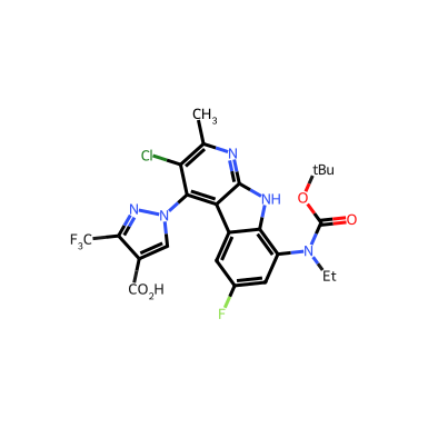 CCN(C(=O)OC(C)(C)C)c1cc(F)cc2c1[nH]c1nc(C)c(Cl)c(-n3cc(C(=O)O)c(C(F)(F)F)n3)c12